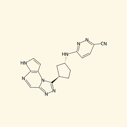 N#Cc1ccc(N[C@@H]2CC[C@@H](c3nnc4cnc5[nH]ccc5n34)C2)nn1